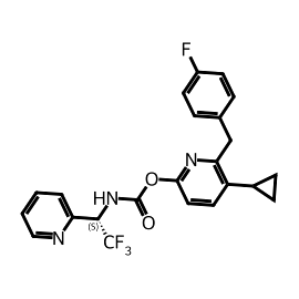 O=C(N[C@@H](c1ccccn1)C(F)(F)F)Oc1ccc(C2CC2)c(Cc2ccc(F)cc2)n1